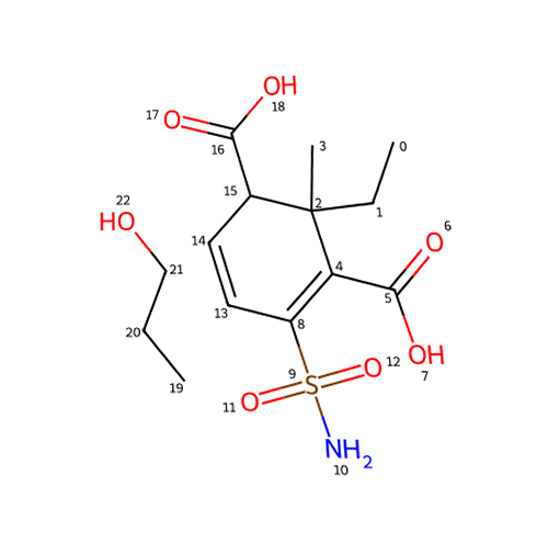 CCC1(C)C(C(=O)O)=C(S(N)(=O)=O)C=CC1C(=O)O.CCCO